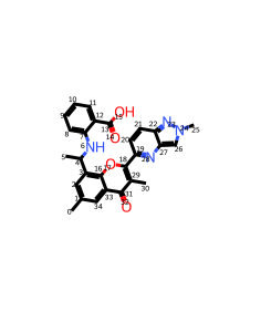 Cc1cc(C(C)Nc2ccccc2C(=O)O)c2oc(-c3ccc4nn(C)cc4n3)c(C)c(=O)c2c1